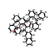 c1ccc(-c2cccc3cccc(-c4ccccc4N(c4ccc(-c5cccc6c7ccccc7n(-c7ccccc7)c56)cc4)c4ccc5ccccc5c4)c23)cc1